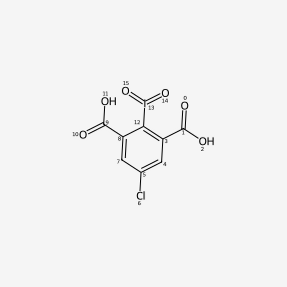 O=C(O)c1cc(Cl)cc(C(=O)O)c1I(=O)=O